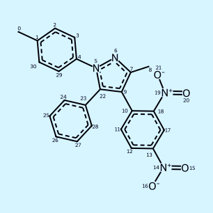 Cc1ccc(-n2nc(C)c(-c3ccc([N+](=O)[O-])cc3[N+](=O)[O-])c2-c2ccccc2)cc1